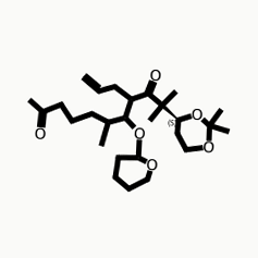 C=CCC(C(=O)C(C)(C)[C@@H]1CCOC(C)(C)O1)C(OC1CCCCO1)C(C)CCCC(C)=O